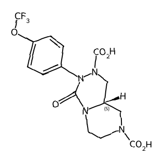 O=C(O)N1CCN2C(=O)N(c3ccc(OC(F)(F)F)cc3)N(C(=O)O)C[C@@H]2C1